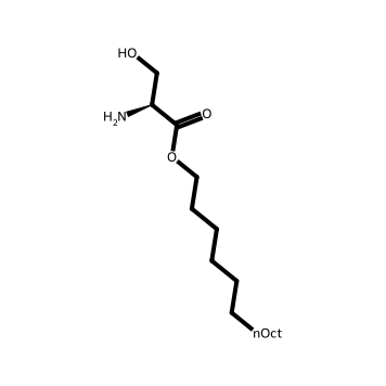 CCCCCCCCCCCCCCOC(=O)[C@@H](N)CO